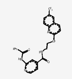 CC(C)C(=O)Nc1cc(C(=O)NCCOc2ccc3cc(C(F)(F)F)ccc3n2)ccn1